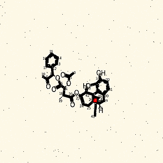 CC(=O)O[C@@H](C(=O)O[C@H](C(C)=O)c1ccccc1)[C@@H](C)C(=O)OC1=CC[C@@]2(O)[C@H]3Cc4ccc(O)c5c4[C@@]2(CCN3C)[C@H]1O5